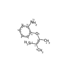 CC([SiH3])=C(C)Oc1ccccc1N